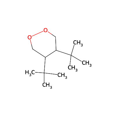 CC(C)(C)C1COOCC1C(C)(C)C